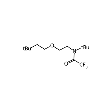 CC(C)(C)CCOCCN(C(=O)C(F)(F)F)C(C)(C)C